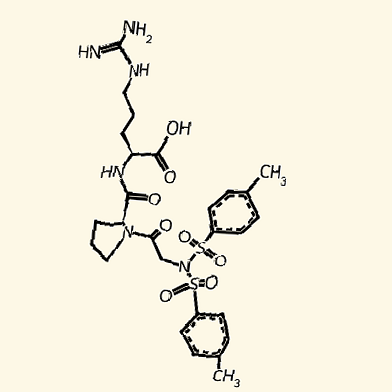 Cc1ccc(S(=O)(=O)N(CC(=O)N2CCC[C@H]2C(=O)N[C@@H](CCCNC(=N)N)C(=O)O)S(=O)(=O)c2ccc(C)cc2)cc1